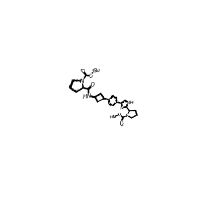 CC(C)(C)OC(=O)N1CCCC1C(=O)NC1CC(c2ccc(-c3c[nH]c(C4CCCN4C(=O)OC(C)(C)C)n3)cc2)C1